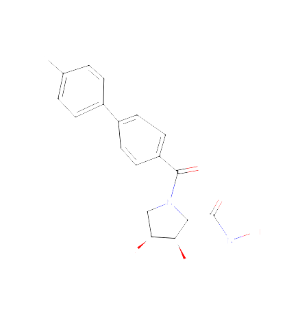 CCCc1ccc(-c2ccc(C(=O)N3C[C@H](O)[C@H](O)[C@H]3C(=O)NO)cc2)cc1